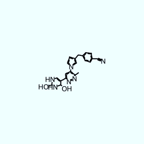 Cc1nnc(C2=CNC(O)NC2O)cc1-n1ccc(Cc2ccc(C#N)cc2)c1